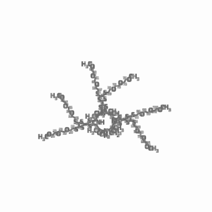 C=C1NC(=C)C(C)(C)c2[nH]c(c3c2SC(=C2SC(SCCOCCOCCOC)=C(SCCOCCOCCOC)S2)S3)C(C)(C)c2[nH]c(c3c2SC(=C2SC(SCCOCCOCCOC)=C(SCCOCCOCCOC)S2)S3)C(C)(C)c2[nH]c(c3c2SC(=C2SC(SCCOCCOCCOC)=C(SCCOCCOCCOC)S2)S3)C1(C)C